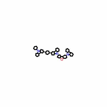 c1ccc(-n2c3ccccc3c3cc(-c4ccc(-c5ccc6c(c5)c5ccccc5n6-c5ccc6oc7ccc(-n8c9ccccc9c9ccccc98)cc7c6c5)cc4)ccc32)cc1